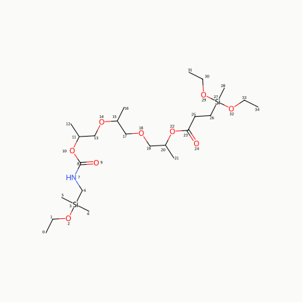 CCO[Si](C)(C)CNC(=O)OC(C)COC(C)COCC(C)OC(=O)CC[Si](C)(OCC)OCC